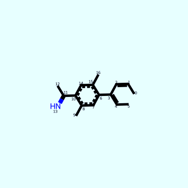 C/C=C\C(=C/C)c1cc(C)c(C(C)=N)cc1C